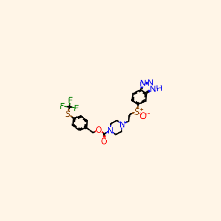 O=C(OCc1ccc(SC(F)(F)F)cc1)N1CCN(CC[S+]([O-])c2ccc3nn[nH]c3c2)CC1